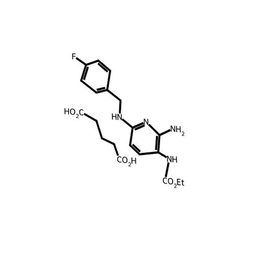 CCOC(=O)Nc1ccc(NCc2ccc(F)cc2)nc1N.O=C(O)CCCC(=O)O